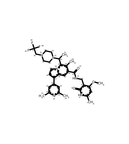 COc1cc(C)[nH]c(=O)c1CNC(=O)c1cc2c(-c3cc(C)nc(C)c3)ccn2c(C(C)N2CCN(CC(F)(F)F)CC2)c1C